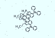 CCCc1cc2c(N(c3ccccc3)c3ccccc3)ccc3c2n1-c1cc(C(C)(C)C)cc2c1B3c1ccc(N(c3ccccc3)c3ccccc3)c3cc(P)n-2c13